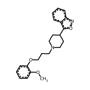 COc1c[c]ccc1OCCCN1CCC(c2onc3ccccc23)CC1